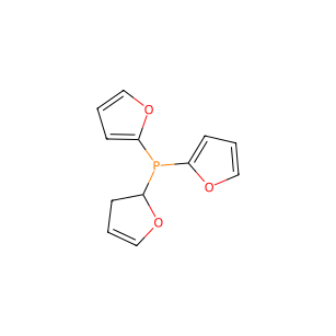 C1=COC(P(c2ccco2)c2ccco2)C1